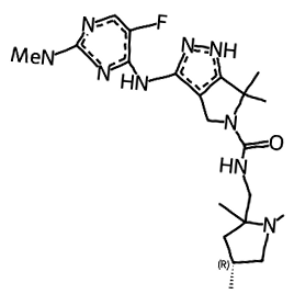 CNc1ncc(F)c(Nc2n[nH]c3c2CN(C(=O)NCC2(C)C[C@@H](C)CN2C)C3(C)C)n1